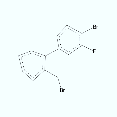 Fc1cc(-c2ccccc2CBr)ccc1Br